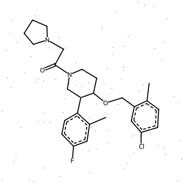 Cc1ccc(Cl)cc1COC1CCN(C(=O)CN2CCCC2)CC1c1ccc(F)cc1C